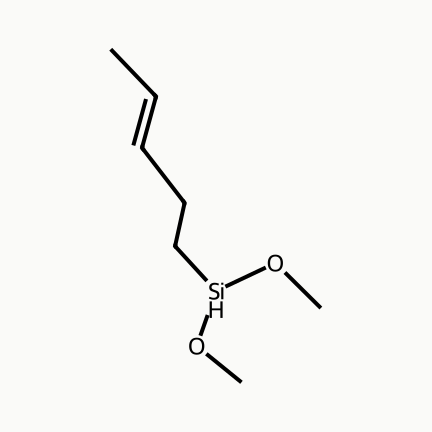 CC=CCC[SiH](OC)OC